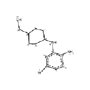 Nc1ncc(Br)nc1NC1CCC(CO)CC1